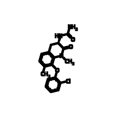 Cc1ccc2c(c1Oc1ccccc1Cl)N(C)C(=O)[C@H](NC(N)=O)C2